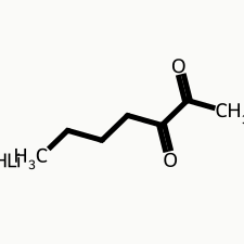 CCCCC(=O)C(C)=O.[LiH]